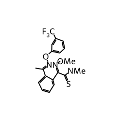 CNC(=S)C(=NOC)c1ccccc1C(C)=NOc1cccc(C(F)(F)F)c1